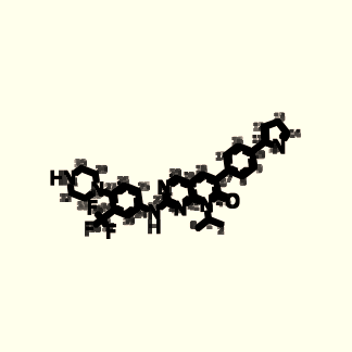 CC(C)n1c(=O)c(-c2ccc(C3=CCC=N3)cc2)cc2cnc(Nc3ccc(N4CCNCC4)c(C(F)(F)F)c3)nc21